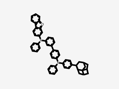 c1ccc(N(c2ccc(-c3cccc(N(c4ccccc4)c4ccc5c(c4)oc4ccccc45)c3)cc2)c2ccc(C34CC5CC6CC(C3)C6(C5)C4)cc2)cc1